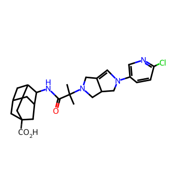 CC(C)(C(=O)NC1C2CC3CC1CC(C(=O)O)(C3)C2)N1CC2=CN(c3ccc(Cl)nc3)CC2C1